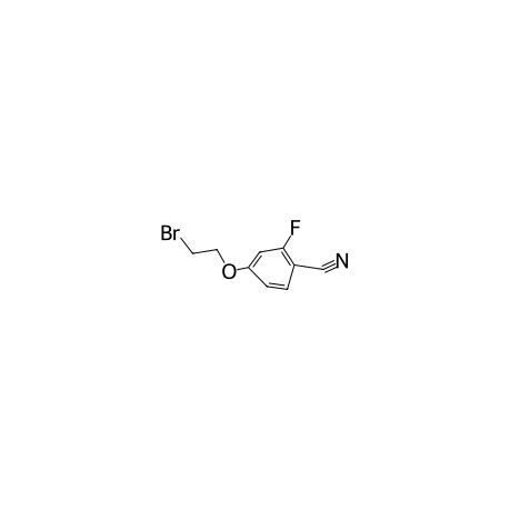 N#Cc1ccc(OCCBr)cc1F